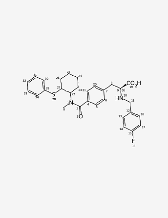 CN(C(=O)c1ccc(C[C@H](NCc2ccc(F)cc2)C(=O)O)cc1)C1CCCCC1Sc1ccccc1